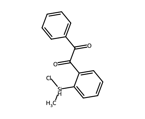 C[SiH](Cl)c1ccccc1C(=O)C(=O)c1ccccc1